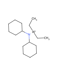 C1CCC([N-]C2CCCCC2)CC1.C[CH2][Al+][CH2]C